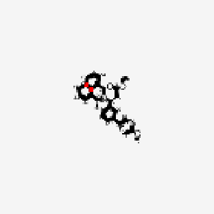 CCOC(=O)C[C@@H](c1cccc(-c2ccc(OC)nc2)c1)N(Cc1ccccc1)[C@H](C)c1ccccc1